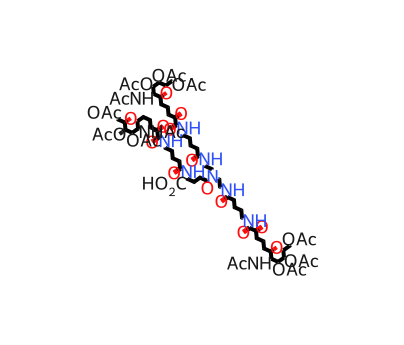 CC(=O)NC1C(CCCC(=O)C(=O)NCCCCC(=O)NCCN(CCNC(=O)CCCCNC(=O)C(=O)CCCC2OC(COC(C)=O)C(OC(C)=O)C(OC(C)=O)C2NC(C)=O)C(=O)CC[C@H](NC(=O)CCCCNC(=O)C(=O)CCCC2OC(COC(C)=O)C(OC(C)=O)C(OC(C)=O)C2NC(C)=O)C(=O)O)OC(COC(C)=O)C(OC(C)=O)C1OC(C)=O